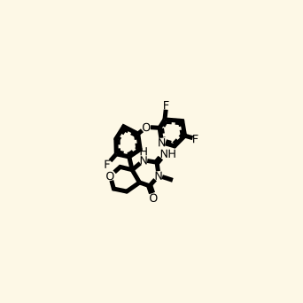 CN1C(=N)NC2(c3cc(Oc4ncc(F)cc4F)ccc3F)COCCC2C1=O